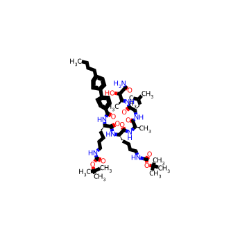 CCCCc1ccc(-c2ccc(C(=O)N[C@@H](CCCCNC(=O)OC(C)(C)C)C(=O)N[C@@H](CCCCNC(=O)OC(C)(C)C)C(=O)N[C@@H](C)C(=O)N[C@@H](CC(C)C)C(=O)N[C@@H](C)C(O)C(N)=O)cc2)cc1